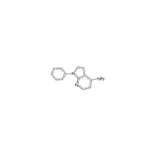 CCCc1ccnc2c1ccn2-c1ccccc1